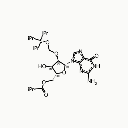 CC(C)C(=O)OC[C@H]1O[C@@H](n2cnc3c(=O)[nH]c(N)nc32)[C@H](OCO[Si](C(C)C)(C(C)C)C(C)C)[C@@H]1O